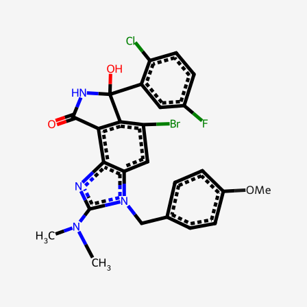 COc1ccc(Cn2c(N(C)C)nc3c4c(c(Br)cc32)C(O)(c2cc(F)ccc2Cl)NC4=O)cc1